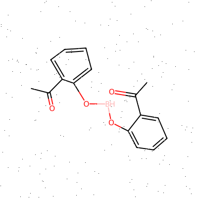 CC(=O)c1ccccc1OBOc1ccccc1C(C)=O